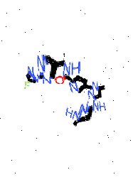 Cc1cc(Nc2cc(C)[nH]n2)nc(-c2ccc(C(=O)N[C@@H](C)c3cnc(-n4cc(F)cn4)nc3)nc2)n1